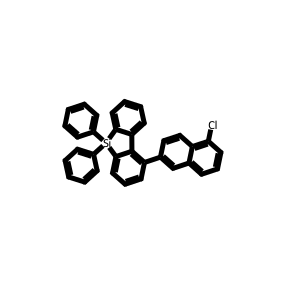 Clc1cccc2cc(-c3cccc4c3-c3ccccc3[Si]4(c3ccccc3)c3ccccc3)ccc12